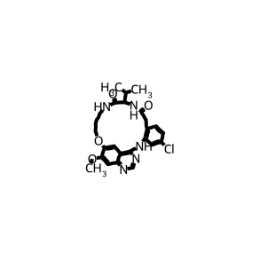 COc1cc2ncnc3c2cc1OCCCNC(=O)C(C(C)C)NC(=O)Cc1ccc(Cl)cc1N3